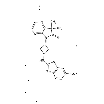 COc1ccc2nc(N[C@H]3C[C@H](N4C(=O)C(C)(C)c5nccnc54)C3)sc2c1